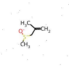 C=C(C)C[S+](C)[O-]